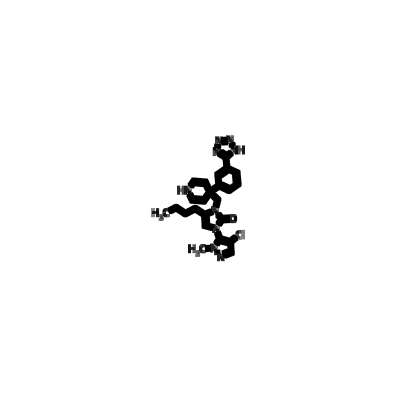 CCCCc1cn(-c2c(Cl)cnn2C)c(=O)n1CC1(c2cccc(-c3nnn[nH]3)c2)C=CNC=C1